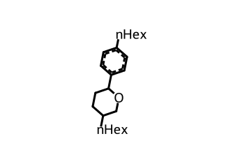 CCCCCCc1ccc(C2CCC(CCCCCC)CO2)cc1